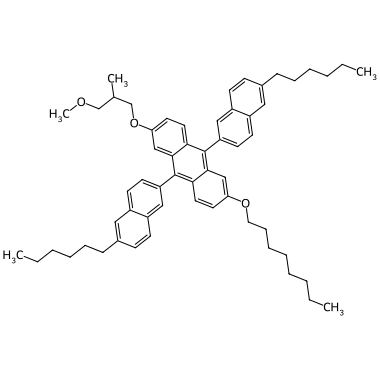 CCCCCCCCOc1ccc2c(-c3ccc4cc(CCCCCC)ccc4c3)c3cc(OCC(C)COC)ccc3c(-c3ccc4cc(CCCCCC)ccc4c3)c2c1